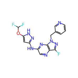 Fc1nn(Cc2cccnc2)c2nc(Nc3cc(OC(F)F)[nH]n3)cnc12